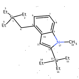 CC[Si](CC)(CC)Cc1cccc2c1cc([Si](CC)(CC)CC)n2C